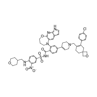 O=C(NS(=O)(=O)c1ccc(NCC2CCOCC2)c([N+](=O)[O-])c1)c1ccc(C2=CCN(CC3=C(c4ccc(Cl)cc4)CC4(CC3)COC4)CC2)cc1N1CCCOc2nc3[nH]ccc3cc21